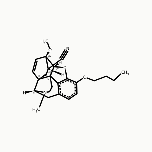 CCCCOc1ccc2c3c1O[C@H]1[C@@]4(OC)C=C[C@@]5(C[C@H]4C#N)[C@@H](C2)N(C)CC[C@]315